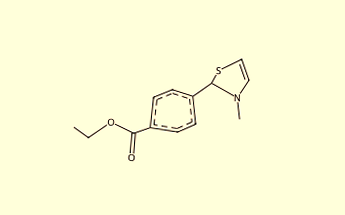 CCOC(=O)c1ccc(C2SC=CN2C)cc1